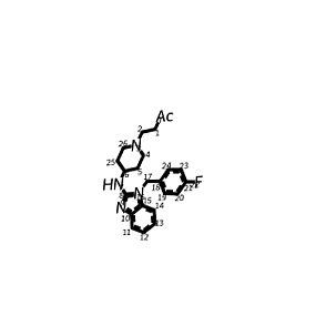 CC(=O)CCN1CCC(Nc2nc3ccccc3n2Cc2ccc(F)cc2)CC1